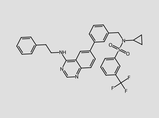 O=S(=O)(c1cccc(C(F)(F)F)c1)N(Cc1cccc(-c2ccc3ncnc(NCCc4ccccc4)c3c2)c1)C1CC1